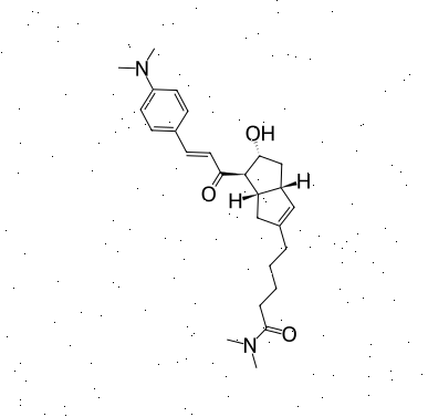 CN(C)C(=O)CCCCC1=C[C@H]2C[C@@H](O)[C@H](C(=O)/C=C/c3ccc(N(C)C)cc3)[C@H]2C1